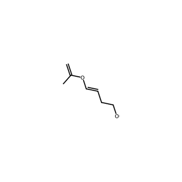 C=C(C)OC=CCC[O]